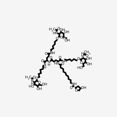 CC(=O)NC1C(OCCCCCCNC(=O)C(CCC(=O)NCCCCCCOC2O[C@H](CO)C(O)C(O)C2NC(C)=O)NC(=O)CCC(NC(=O)CCCCCCCCCNC(=O)[C@@H]2C[C@@H](O)CO2)C(=O)NCCCCCCOC2OC(CO)C(O)C(O)C2NC(C)=O)OC(CO)C(O)C1O